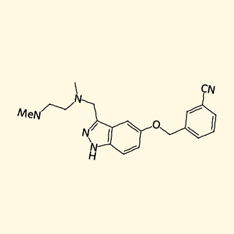 CNCCN(C)Cc1n[nH]c2ccc(OCc3cccc(C#N)c3)cc12